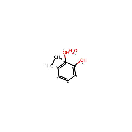 CC.O.Oc1ccccc1O